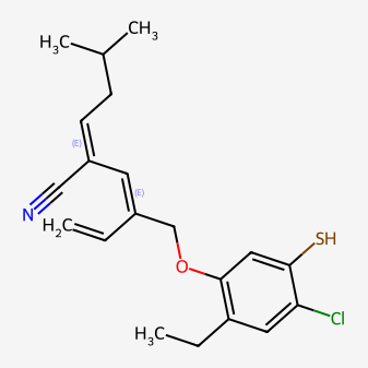 C=C/C(=C\C(C#N)=C/CC(C)C)COc1cc(S)c(Cl)cc1CC